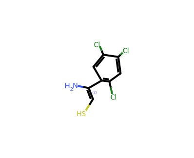 N/C(=C\S)c1cc(Cl)c(Cl)cc1Cl